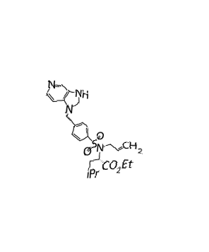 C=CCN([C@@H](CC(C)C)C(=O)OCC)S(=O)(=O)c1ccc(CN2CNc3cnccc32)cc1